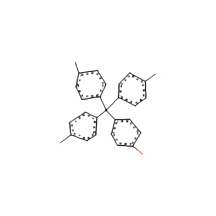 CC(C)(C)c1ccc(C(c2ccc(O)cc2)(c2ccc(C(C)(C)C)cc2)c2ccc(C(C)(C)C)cc2)cc1